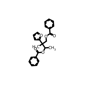 CC(OC(=O)c1ccccc1)C(C)(COC(=O)c1ccccc1)c1ccco1